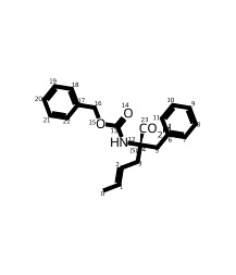 CC=CC[C@@](Cc1ccccc1)(NC(=O)OCc1ccccc1)C(=O)O